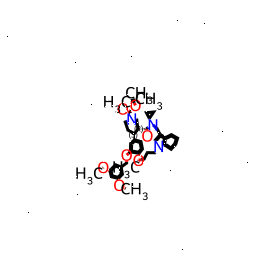 COCCCn1cc(CN(C(=O)[C@H]2CN(C(=O)OC(C)(C)C)CC[C@@H]2c2cccc(OCc3cc(OC)cc(OC)c3)c2)C2CC2)c2ccccc21